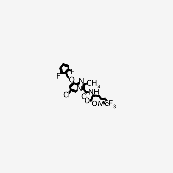 COC(=O)C(CCCC(F)(F)F)NC(=O)c1c(C)nc2c(OCc3c(F)cccc3F)cc(Cl)cn12